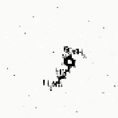 C[S+]([O-])c1ccc(CNCCCN)cc1